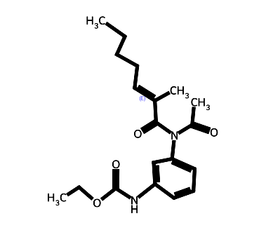 CCCC/C=C(\C)C(=O)N(C(C)=O)c1cccc(NC(=O)OCC)c1